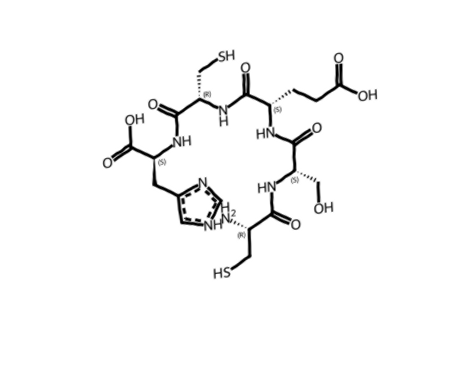 N[C@@H](CS)C(=O)N[C@@H](CO)C(=O)N[C@@H](CCC(=O)O)C(=O)N[C@@H](CS)C(=O)N[C@@H](Cc1c[nH]cn1)C(=O)O